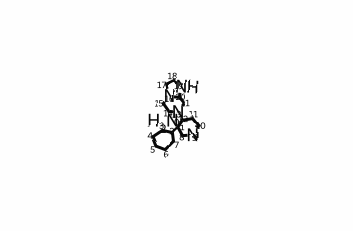 NC1(C2CCCCC2)CN=CCC1N1CCN2CCNC2C1